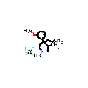 CCCC1(c2cccc(OC)c2)CC=[N+](C)CC1C.F[B-](F)(F)F